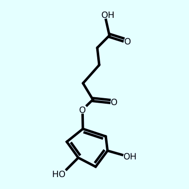 O=C(O)CCCC(=O)Oc1cc(O)cc(O)c1